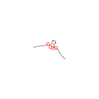 CCCCCCCCOC(=O)C1C=CC=CC1C(=O)OCCCCCCCC